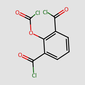 O=C(Cl)Oc1c(C(=O)Cl)cccc1C(=O)Cl